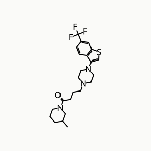 CC1CCCN(C(=O)CCCN2CCN(c3csc4cc(C(F)(F)F)ccc34)CC2)C1